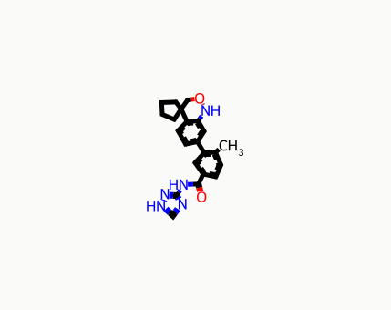 Cc1ccc(C(=O)Nc2nc[nH]n2)cc1-c1ccc2c(c1)NOCC21CCCC1